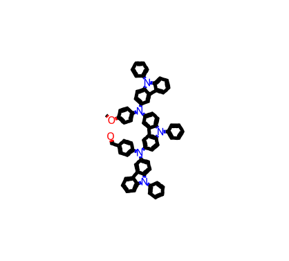 COc1ccc(N(c2ccc3c(c2)c2ccccc2n3-c2ccccc2)c2ccc3c(c2)c2cc(N(c4ccc(C=O)cc4)c4ccc5c(c4)c4ccccc4n5-c4ccccc4)ccc2n3-c2ccccc2)cc1